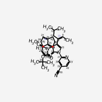 C=C1C=CN=c2c(c(/C(=C\C)CC(C)C)cn2-c2cc(C#N)ccn2)=C1/C1=C\[C@@H](C)CN(C(=O)OC(C)(C)C)CCC1